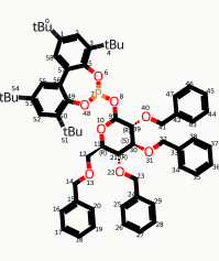 CC(C)(C)c1cc(C(C)(C)C)c2op(OC3O[C@H](COCc4ccccc4)[C@@H](OCc4ccccc4)[C@H](OCc4ccccc4)[C@H]3OCc3ccccc3)oc3c(C(C)(C)C)cc(C(C)(C)C)cc3c2c1